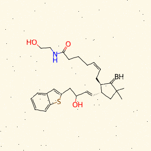 B=C1[C@H](C/C=C\CCCC(=O)NCCO)[C@@H](/C=C/C(O)Cc2cc3ccccc3s2)CC1(C)C